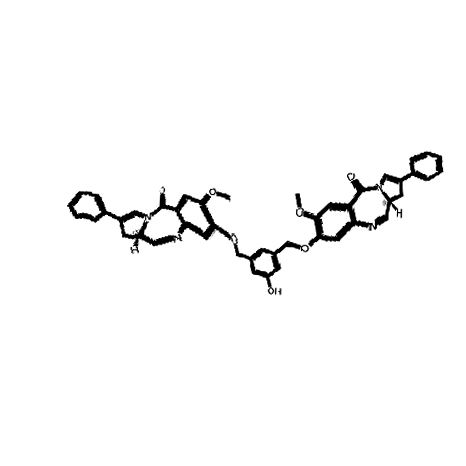 COc1cc2c(cc1OCc1cc(O)cc(COc3cc4c(cc3OC)C(=O)N3C=C(c5ccccc5)C[C@@H]3C=N4)c1)N=C[C@@H]1CC(c3ccccc3)=CN1C2=O